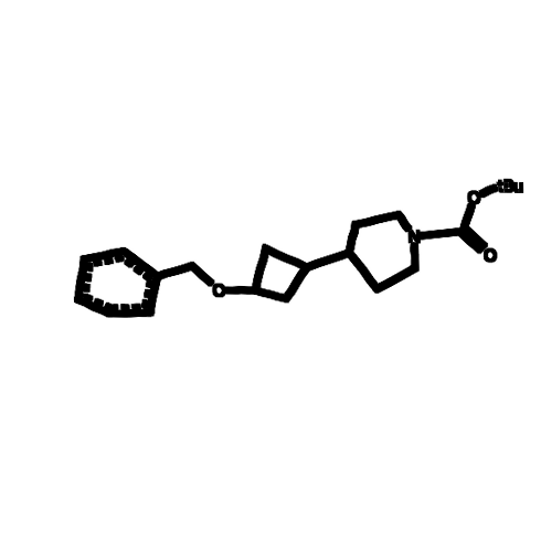 CC(C)(C)OC(=O)N1CCC(C2CC(OCc3ccccc3)C2)CC1